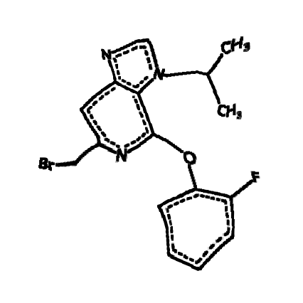 CC(C)n1cnc2cc(Br)nc(Oc3ccccc3F)c21